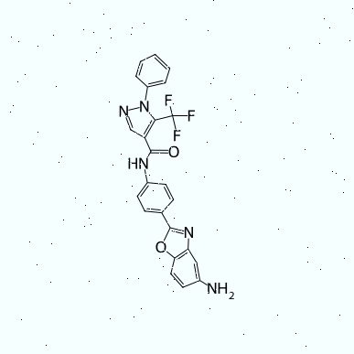 Nc1ccc2oc(-c3ccc(NC(=O)c4cnn(-c5ccccc5)c4C(F)(F)F)cc3)nc2c1